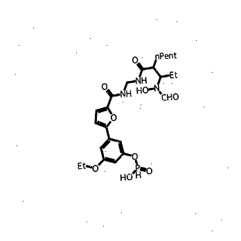 CCCCCC(C(=O)NCNC(=O)c1ccc(-c2cc(OCC)cc(O[PH](=O)O)c2)o1)C(CC)N(O)C=O